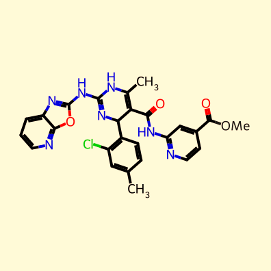 COC(=O)c1ccnc(NC(=O)C2=C(C)NC(Nc3nc4cccnc4o3)=NC2c2ccc(C)cc2Cl)c1